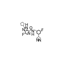 CN1CC(c2cc(F)cc(CNC(=O)c3ncc(F)c4nc(C5CCCC5)[nH]c34)c2)C=N1